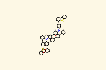 Cc1cc(-c2ccc(N(c3ccc(-c4cccc5c4sc4ccccc45)cc3)c3c(C)cccc3-c3ccc(-c4ccccc4)cc3)c(C)c2)ccc1N(c1ccc(-c2cccc3c2sc2ccccc23)cc1)c1c(C)cccc1-c1ccc(-c2ccccc2)cc1